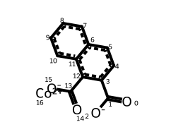 O=C([O-])c1ccc2ccccc2c1C(=O)[O-].[Co+2]